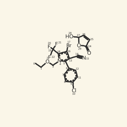 CCOCn1c(-c2ccc(Cl)cc2)c(C#N)c(Br)c1C(F)(F)F.O=C1C=CC(O)O1